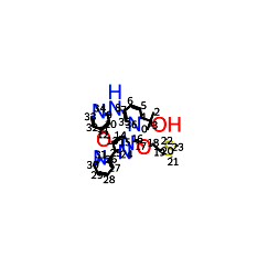 CC(C)(O)c1ccc(Nc2cc(Oc3cn(COCCS(C)(C)C)nc3-c3ccccn3)ccn2)cn1